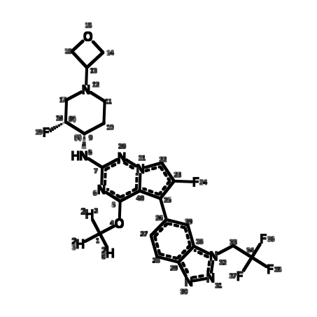 [2H]C([2H])([2H])Oc1nc(N[C@H]2CCN(C3COC3)C[C@H]2F)nn2cc(F)c(-c3ccc4nnn(CC(F)(F)F)c4c3)c12